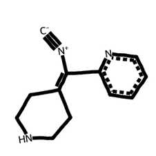 [C-]#[N+]C(=C1CCNCC1)c1ccccn1